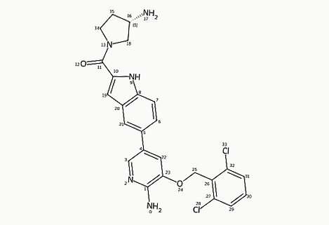 Nc1ncc(-c2ccc3[nH]c(C(=O)N4CC[C@H](N)C4)cc3c2)cc1OCc1c(Cl)cccc1Cl